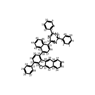 c1ccc(-c2nc(-c3ccccc3)nc(-c3ccc(-c4ccc(-c5ccccc5)c5oc6cc7ccccc7cc6c45)c4ccccc34)n2)cc1